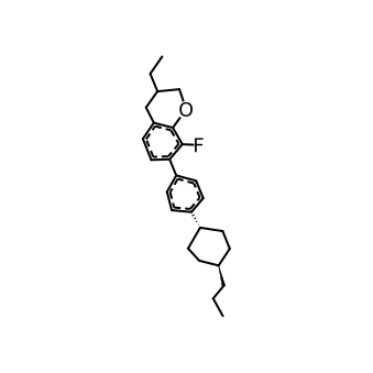 CCC[C@H]1CC[C@H](c2ccc(-c3ccc4c(c3F)OCC(CC)C4)cc2)CC1